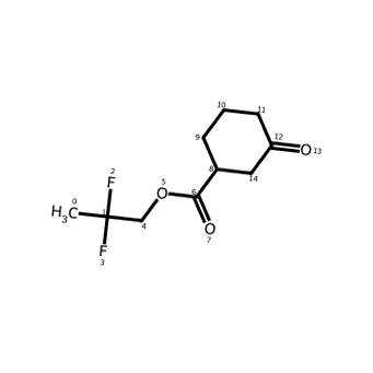 CC(F)(F)COC(=O)C1CCCC(=O)C1